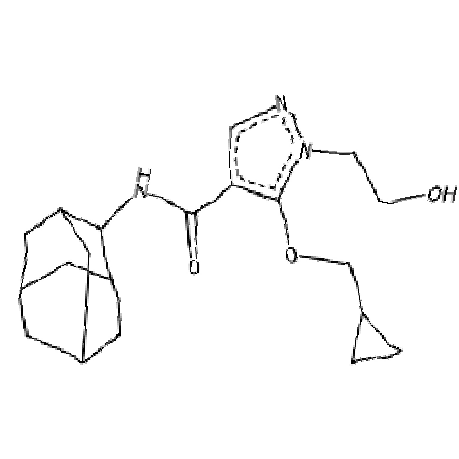 O=C(NC1C2CC3CC(C2)CC1C3)c1cnn(CCO)c1OCC1CC1